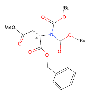 COC(=O)C[C@@H](C(=O)OCc1ccccc1)N(C(=O)OC(C)(C)C)C(=O)OC(C)(C)C